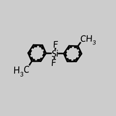 Cc1cccc([Si](F)(F)c2cccc(C)c2)c1